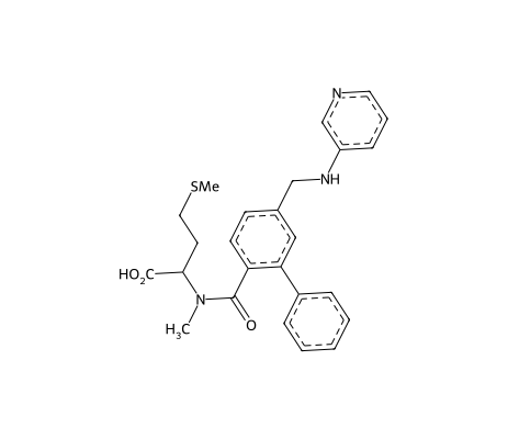 CSCCC(C(=O)O)N(C)C(=O)c1ccc(CNc2cccnc2)cc1-c1ccccc1